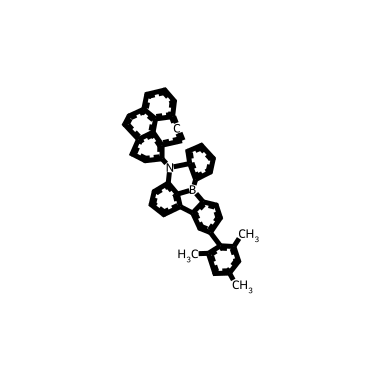 Cc1cc(C)c(-c2ccc3c(c2)-c2cccc4c2B3c2ccccc2N4c2ccc3ccc4cccc5ccc2c3c45)c(C)c1